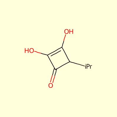 CC(C)C1C(=O)C(O)=C1O